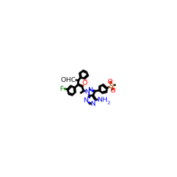 CC(C1=C(c2cccc(F)c2)C(C=O)c2ccccc2O1)n1nc(-c2ccc(S(C)(=O)=O)cc2)c2c(N)ncnc21